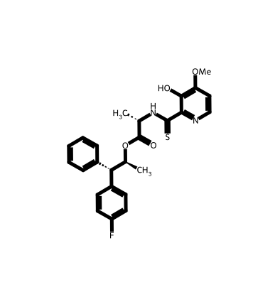 COc1ccnc(C(=S)N[C@@H](C)C(=O)O[C@@H](C)[C@@H](c2ccccc2)c2ccc(F)cc2)c1O